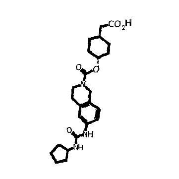 O=C(O)C[C@H]1CC[C@H](OC(=O)N2CCc3cc(NC(=O)NC4CCCC4)ccc3C2)CC1